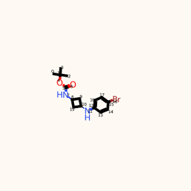 CC(C)(C)OC(=O)N[C@H]1C[C@H](Nc2ccc(Br)cc2)C1